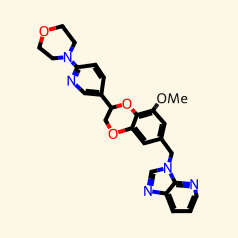 COc1cc(Cn2cnc3cccnc32)cc2c1OC(c1ccc(N3CCOCC3)nc1)CO2